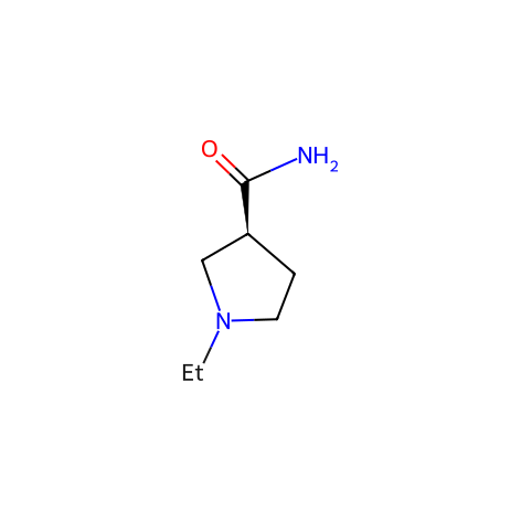 CCN1CC[C@H](C(N)=O)C1